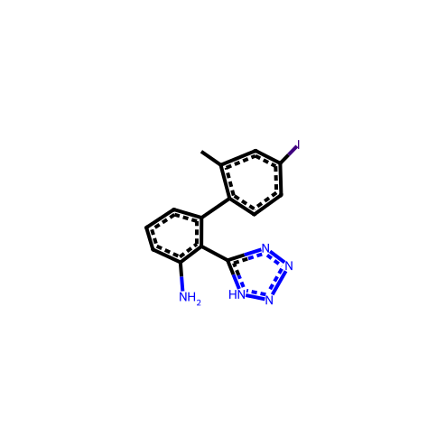 Cc1cc(I)ccc1-c1cccc(N)c1-c1nnn[nH]1